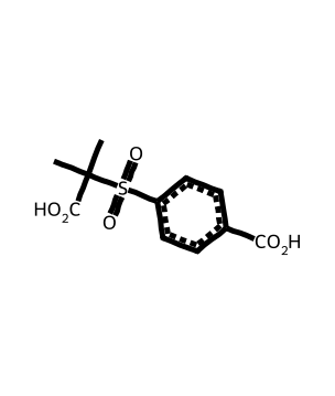 CC(C)(C(=O)O)S(=O)(=O)c1ccc(C(=O)O)cc1